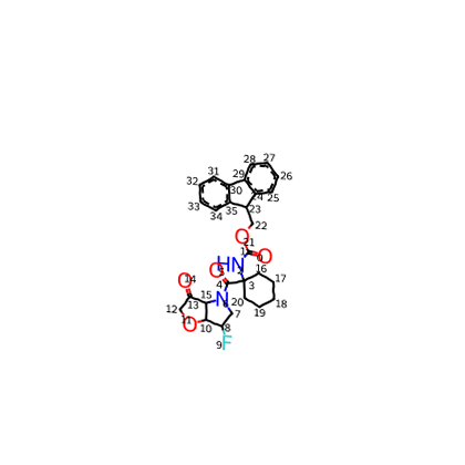 O=C(NC1(C(=O)N2CC(F)C3OCC(=O)C32)CCCCC1)OCC1c2ccccc2-c2ccccc21